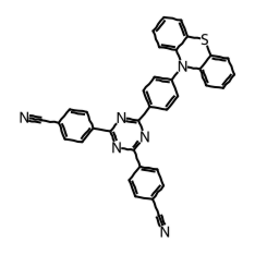 N#Cc1ccc(-c2nc(-c3ccc(C#N)cc3)nc(-c3ccc(N4c5ccccc5Sc5ccccc54)cc3)n2)cc1